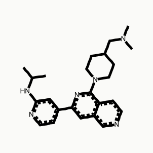 CC(C)Nc1cc(-c2cc3cnccc3c(N3CCC(CN(C)C)CC3)n2)ccn1